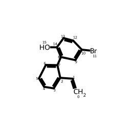 C=Cc1ccccc1-c1cc(Br)ccc1O